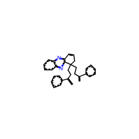 C=C(CCC1(CCC(=C)c2ccccc2)CC=Cc2nc3ccccc3nc21)c1ccccc1